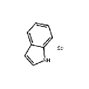 [Sc].c1ccc2[nH]ccc2c1